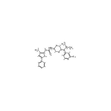 Cc1nc(-c2ccccc2)sc1OC(=O)NC1CCC(C(c2cccc(F)c2)N(C)C)CC1